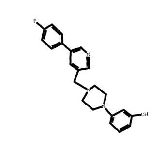 Oc1cccc(N2CCN(Cc3cncc(-c4ccc(F)cc4)c3)CC2)c1